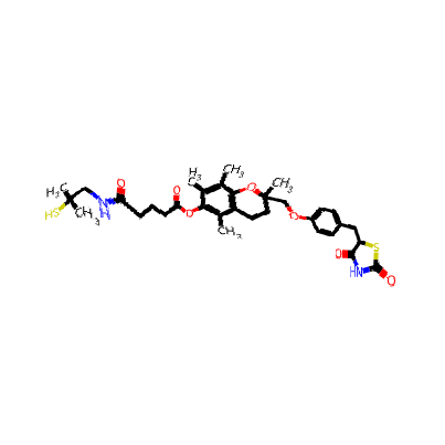 Cc1c(C)c2c(c(C)c1OC(=O)CCCC(=O)NCC(C)(C)S)CCC(C)(COc1ccc(CC3SC(=O)NC3=O)cc1)O2